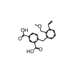 C=Cc1cccc(Cc2ccc(C(=O)O)cc2C(=O)O)c1COC